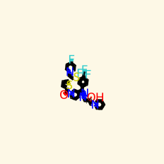 O=C(c1cccs1)N1CCc2c(c(-c3ccc(C(F)(F)F)c(SCCN4CCC(F)CC4)c3)nn2C[C@@H](O)CN2CCCCC2)C1